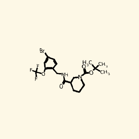 CC(C)(C)OC(=O)N1CCCC(C(=O)NCc2ccc(Br)cc2OC(F)(F)F)C1